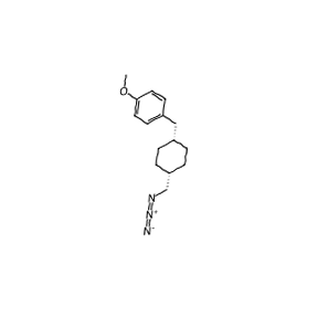 COc1ccc(C[C@H]2CC[C@@H](CN=[N+]=[N-])CC2)cc1